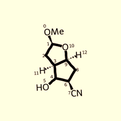 CO[C@@H]1C[C@@H]2C(O)[C@H](C#N)C[C@@H]2O1